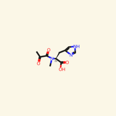 CC(=O)C(=O)N(C)[C@@H](Cc1c[nH]cn1)C(=O)O